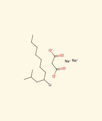 O=C([O-])CC(=O)[O-].[Li][CH](CCCCCCC)CC(C)C.[Na+].[Na+]